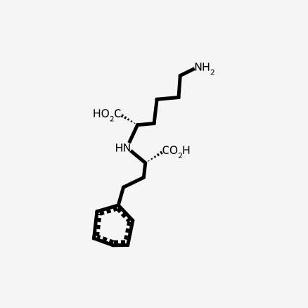 NCCCC[C@H](N[C@@H](CCc1ccccc1)C(=O)O)C(=O)O